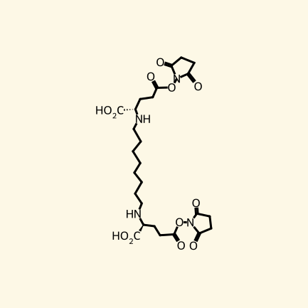 O=C(CC[C@H](NCCCCCCCCN[C@@H](CCC(=O)ON1C(=O)CCC1=O)C(=O)O)C(=O)O)ON1C(=O)CCC1=O